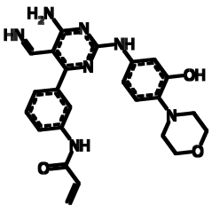 C=CC(=O)Nc1cccc(-c2nc(Nc3ccc(N4CCOCC4)c(O)c3)nc(N)c2C=N)c1